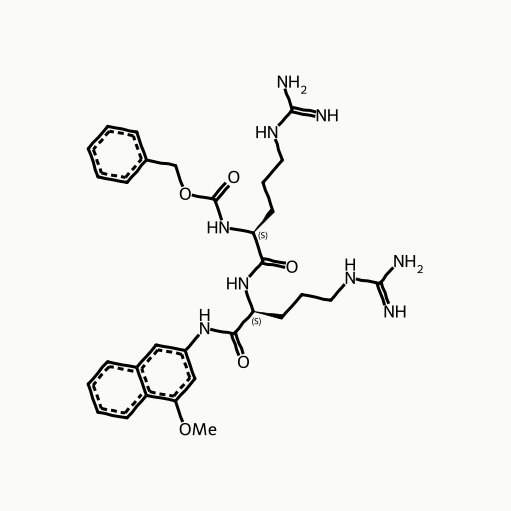 COc1cc(NC(=O)[C@H](CCCNC(=N)N)NC(=O)[C@H](CCCNC(=N)N)NC(=O)OCc2ccccc2)cc2ccccc12